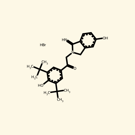 Br.CC(C)(C)c1cc(C(=O)CN2Cc3cc(O)ccc3C2=N)cc(C(C)(C)C)c1O